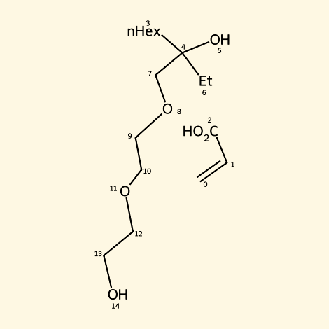 C=CC(=O)O.CCCCCCC(O)(CC)COCCOCCO